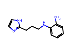 Nc1ccccc1NCCCC1=[N+]C=CN1